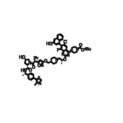 Cc1ncsc1-c1ccc([C@H](C)NC(=O)[C@@H]2C[C@@H](O)CN2C(=O)[C@@H](c2cc(OCC3CCN(C[C@@H](C)Oc4nc(N5CCN(C(=O)OC(C)(C)C)CC5)c5cc(Cl)c(-c6cc(O)cc7ccccc67)c(F)c5n4)CC3)no2)C(C)C)cc1